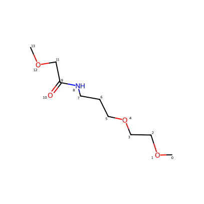 COCCOCCCNC(=O)COC